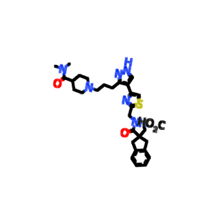 CN(C)C(=O)C1CCN(CCCc2n[nH]cc2-c2csc(CNC(=O)C3(CC(=O)O)Cc4ccccc4C3)n2)CC1